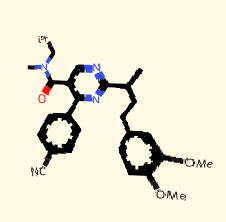 COc1ccc(CCC(C)c2ncc(C(=O)N(C)CC(C)C)c(-c3ccc(C#N)cc3)n2)cc1OC